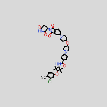 CC1(C)[C@H](NC(=O)c2ccc(N3CCC(OC4CCN(c5ccc6c(c5)C(=O)N(C5CCC(=O)NC5=O)C6=O)CC4)CC3)cc2)C(C)(C)[C@H]1Oc1ccc(C#N)c(Cl)c1